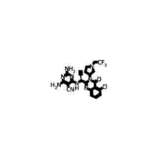 C#C[C@H](Nc1nc(N)nc(N)c1C#N)c1nc2cccc(Cl)c2c(=O)n1C1CCN(CC(F)(F)F)C1